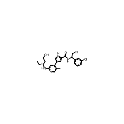 CC[C@@H](CCO)Nc1cc(-c2c[nH]c(C(=O)NC(CO)c3cccc(Cl)c3)c2)c(C)cn1